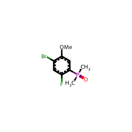 COc1cc(P(C)(C)=O)c(F)cc1Br